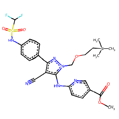 COC(=O)c1ccc(Nc2c(C#N)c(-c3ccc(NS(=O)(=O)C(F)F)cc3)nn2COCC[Si](C)(C)C)nc1